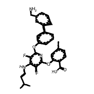 Cc1ccc(C(=O)O)c(Oc2nc(Oc3cccc(-c4cccc(CN)c4)c3)c(F)c(NCCC(C)C)c2F)c1